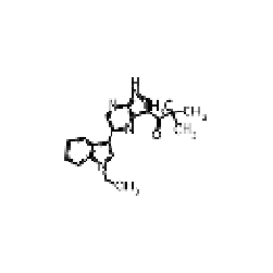 CCn1cc(-c2cnc3[nH]cc(C(=O)C(C)(C)C)c3n2)c2ccccc21